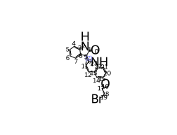 O=C1Nc2ccccc2/C1=C1\C=Cc2cc(OCCBr)ccc2N1